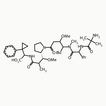 CCC(C)C(C(CC(=O)N1CCC[C@H]1C(OC)C(C)C(=O)NC(C(=O)O)C1(c2ccccc2)CC1)OC)N(C)C(=O)C(NC(=O)C(C)(C)N)C(C)C